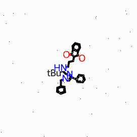 CC(C)(C)[C@@H](NCCCC1C(=O)c2ccccc2C1=O)c1nc(-c2ccccc2)cn1Cc1ccccc1